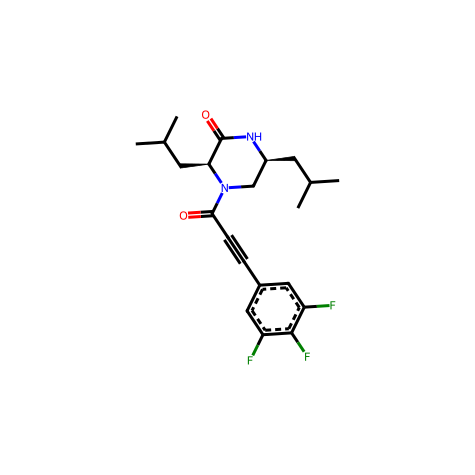 CC(C)C[C@H]1CN(C(=O)C#Cc2cc(F)c(F)c(F)c2)[C@@H](CC(C)C)C(=O)N1